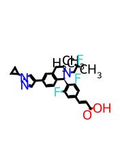 C[C@H]1Cc2cc(-c3cnn(C4CC4)c3)ccc2[C@H](c2c(F)cc(/C=C/C(=O)O)cc2F)N1CC(C)(C)F